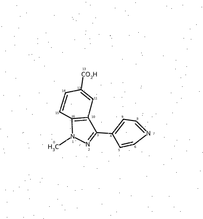 Cn1nc(-c2ccncc2)c2cc(C(=O)O)ccc21